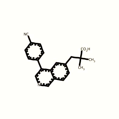 CC(C)(Cc1ccc2cncc(-c3ccc(C#N)cc3)c2c1)C(=O)O